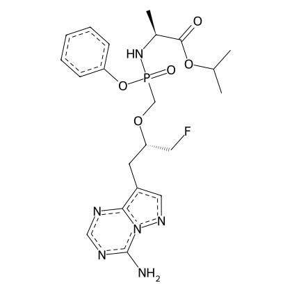 CC(C)OC(=O)[C@H](C)NP(=O)(CO[C@H](CF)Cc1cnn2c(N)ncnc12)Oc1ccccc1